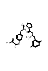 C[C@H](Oc1ccc(CNC(=O)[C@@H]2CCCN2C(=O)C[C@H](N)Cc2cc(F)ccc2F)cc1)C(=O)O